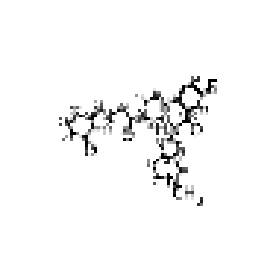 CN1CCc2nc(NC(=O)c3cc(F)ccc3N3CCN(C(=O)CN4C=C5C=CCC(=O)C5C4)CC3)sc2C1